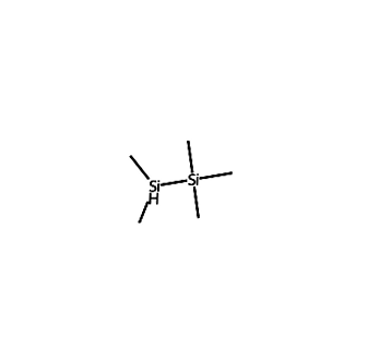 C[SiH](C)[Si](C)(C)C